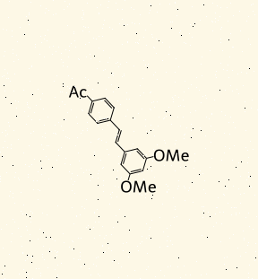 COc1cc(C=Cc2ccc(C(C)=O)cc2)cc(OC)c1